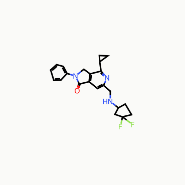 O=C1c2cc(CNC3CCC(F)(F)C3)nc(C3CC3)c2CN1c1ccccc1